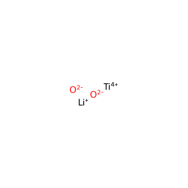 [Li+].[O-2].[O-2].[Ti+4]